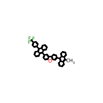 Cc1c2ccccc2c(-c2ccc3c(c2)oc2ccc(-c4c5ccccc5c(-c5ccc(C(F)(F)F)cc5)c5ccccc45)cc23)c2ccccc12